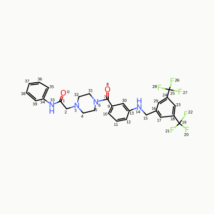 O=C(CN1CCN(C(=O)c2cccc(NCc3cc(C(F)(F)F)cc(C(F)(F)F)c3)c2)CC1)Nc1ccccc1